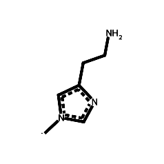 [CH2]n1cnc(CCN)c1